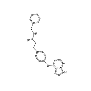 O=C(CCc1ccc(Oc2ccnc3[nH]ccc23)cc1)NCc1ccccc1